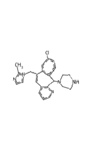 Cc1nccn1CC1=Cc2cccnc2C(N2CCNCC2)c2ccc(Cl)cc21